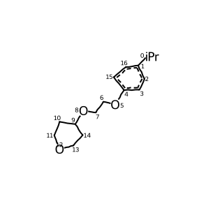 CC(C)c1ccc(OCCOC2CCOCC2)cc1